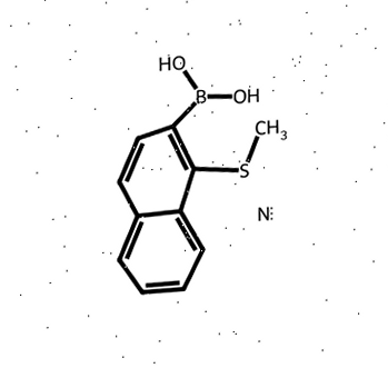 CSc1c(B(O)O)ccc2ccccc12.[N]